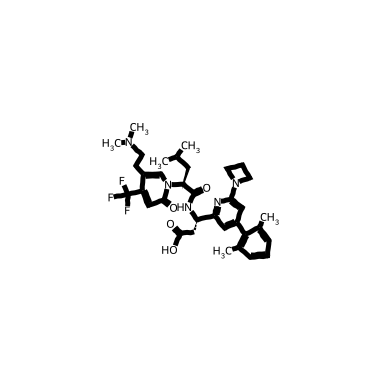 Cc1cccc(C)c1-c1cc([C@H](CC(=O)O)NC(=O)[C@H](CC(C)C)n2cc(CCN(C)C)c(C(F)(F)F)cc2=O)nc(N2CCC2)c1